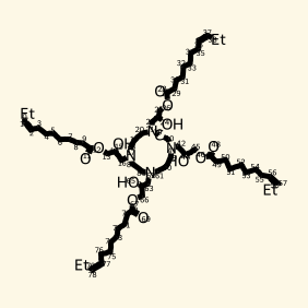 CC/C=C\CCCCCCCC(=O)OCC(O)CN1CCCN(CC(O)COC(=O)CCCCCCC/C=C\CC)CCN(CC(O)COC(=O)CCCCCCC/C=C\CC)CCCN(CC(O)COC(=O)CCCCCCC/C=C\CC)CC1